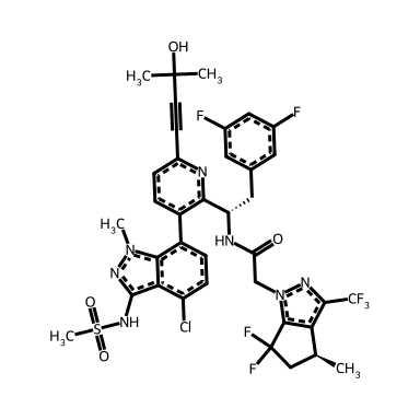 C[C@H]1CC(F)(F)c2c1c(C(F)(F)F)nn2CC(=O)N[C@@H](Cc1cc(F)cc(F)c1)c1nc(C#CC(C)(C)O)ccc1-c1ccc(Cl)c2c(NS(C)(=O)=O)nn(C)c12